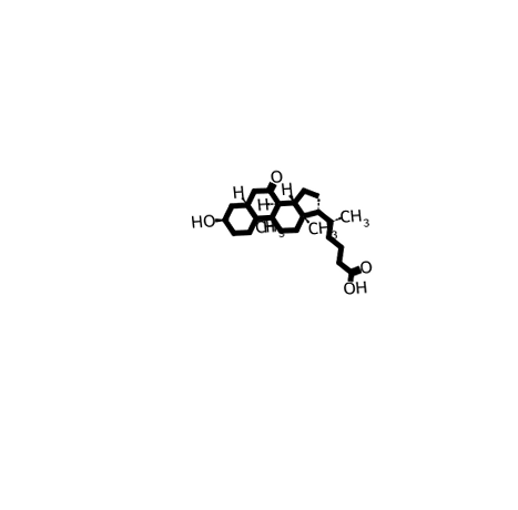 C[C@H](CCCC(=O)O)[C@H]1CC[C@H]2[C@@H]3C(=O)C[C@@H]4C[C@H](O)CC[C@]4(C)[C@H]3CC[C@]12C